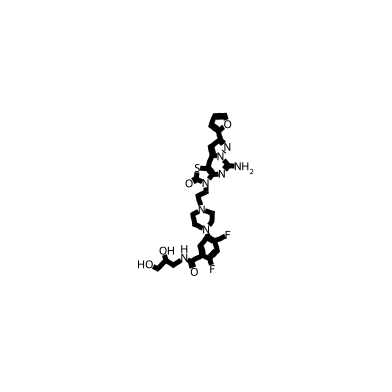 Nc1nc2c(sc(=O)n2CCN2CCN(c3cc(C(=O)NCC(O)CO)c(F)cc3F)CC2)c2cc(-c3ccco3)nn12